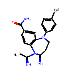 CC(=N)N1C(=N)CCN(c2ccc(C#N)cc2)c2cc(C(N)=O)ccc21